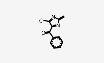 C=C1N=C(Cl)C(C(=O)c2ccccc2)=N1